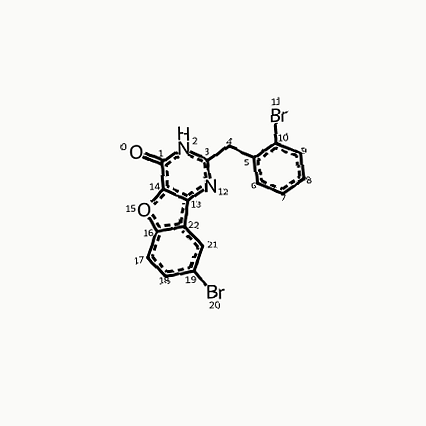 O=c1[nH]c(Cc2ccccc2Br)nc2c1oc1ccc(Br)cc12